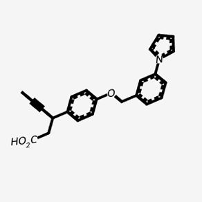 CC#CC(CC(=O)O)c1ccc(OCc2cccc(-n3cccc3)c2)cc1